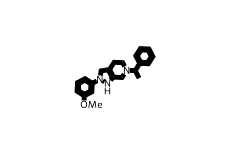 COc1cccc(N2CC3=C(CN(C(C)c4ccccc4)CC3)N2)c1